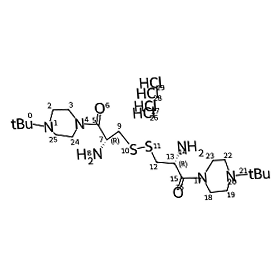 CC(C)(C)N1CCN(C(=O)[C@@H](N)CSSC[C@H](N)C(=O)N2CCN(C(C)(C)C)CC2)CC1.Cl.Cl.Cl.Cl